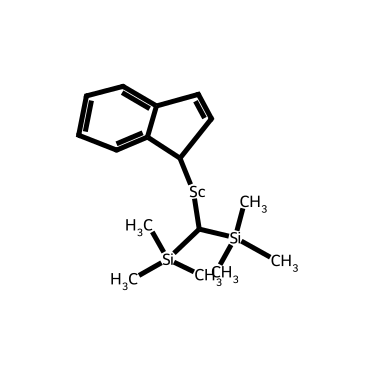 C[Si](C)(C)[CH]([Sc][CH]1C=Cc2ccccc21)[Si](C)(C)C